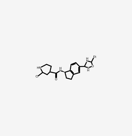 CCC1NC(c2ccc3c(c2)CC[C@H]3NC(=O)C2CCNC(Cl)C2)NO1